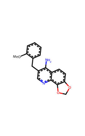 COc1ccccc1Cc1cnc2c3c(ccc2c1N)OCO3